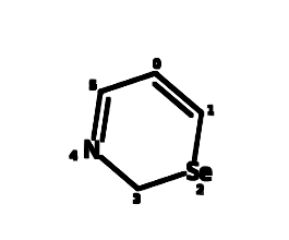 C1=C[Se]CN=C1